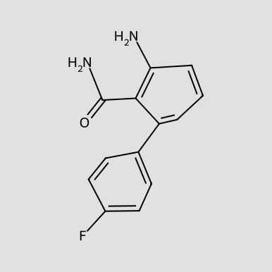 NC(=O)c1c(N)cccc1-c1ccc(F)cc1